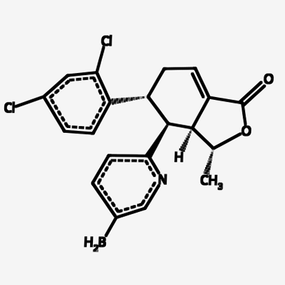 Bc1ccc([C@@H]2[C@H]3C(=CC[C@H]2c2ccc(Cl)cc2Cl)C(=O)O[C@@H]3C)nc1